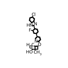 C[C@H]1[C@H](Oc2ccc(-c3ccc(-c4nc5cc(Cl)ccc5[nH]4)c(F)c3)cn2)CC1(C)C(=O)O